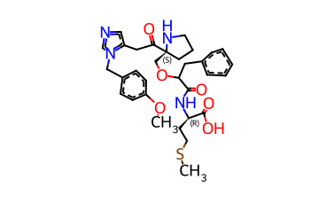 COc1ccc(Cn2cncc2CC(=O)[C@@]2(COC(Cc3ccccc3)C(=O)N[C@H](CCSC)C(=O)O)CCCN2)cc1